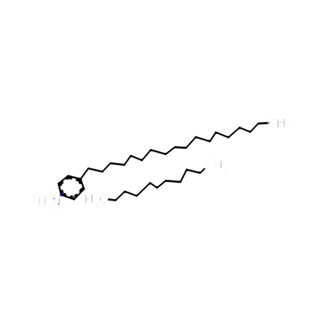 CCCCCCCCCCC.CCCCCCCCCCCCCCCCCCc1ccc(N)cc1